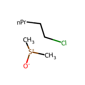 CCCCCCl.C[S+](C)[O-]